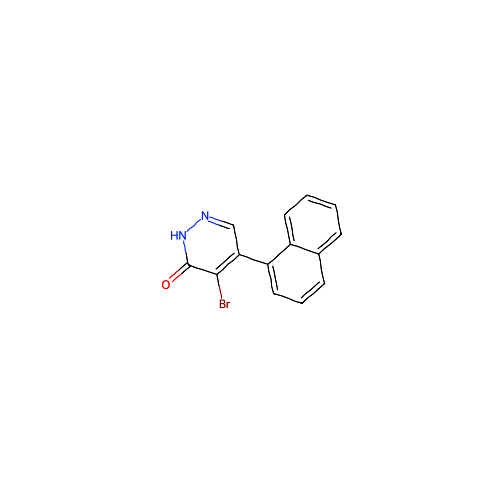 O=c1[nH]ncc(-c2cccc3ccccc23)c1Br